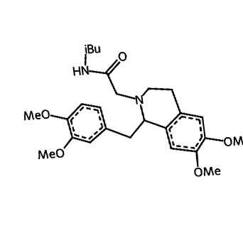 CCC(C)NC(=O)CN1CCc2cc(OC)c(OC)cc2C1Cc1ccc(OC)c(OC)c1